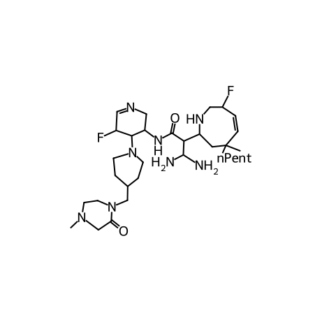 CCCCCC1(C)/C=C\C(F)CNC(C(C(=O)NC2CN=CC(F)C2N2CCC(CN3CCN(C)CC3=O)CC2)C(N)N)C1